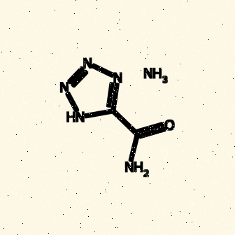 N.NC(=O)c1nnn[nH]1